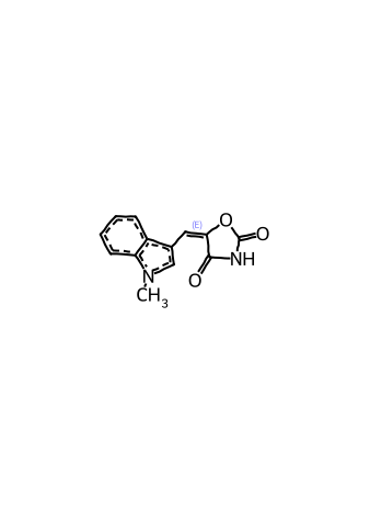 Cn1cc(/C=C2/OC(=O)NC2=O)c2ccccc21